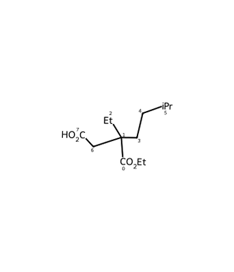 CCOC(=O)C(CC)(CCC(C)C)CC(=O)O